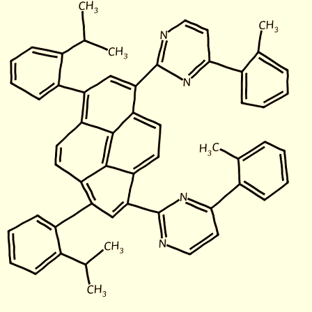 Cc1ccccc1-c1ccnc(-c2cc(-c3ccccc3C(C)C)c3ccc4c(-c5ccccc5C(C)C)cc(-c5nccc(-c6ccccc6C)n5)c5ccc2c3c54)n1